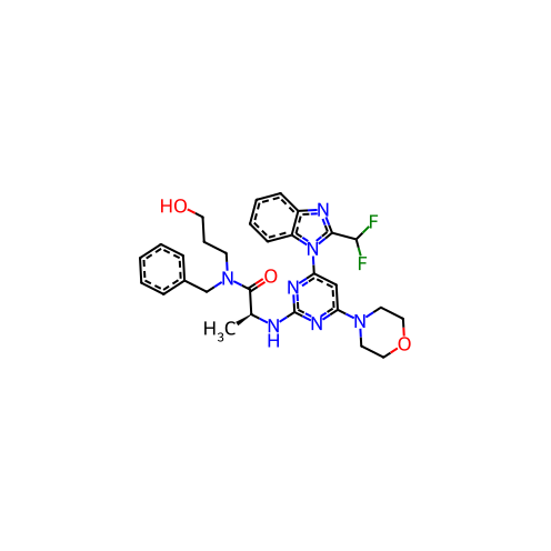 C[C@H](Nc1nc(N2CCOCC2)cc(-n2c(C(F)F)nc3ccccc32)n1)C(=O)N(CCCO)Cc1ccccc1